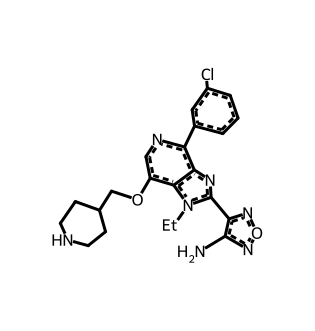 CCn1c(-c2nonc2N)nc2c(-c3cccc(Cl)c3)ncc(OCC3CCNCC3)c21